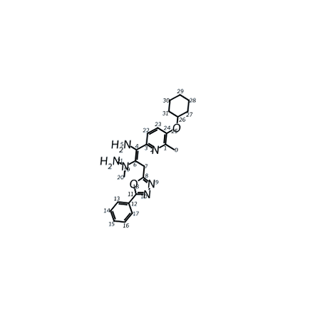 Cc1nc(/C(N)=C(\Cc2nnc(-c3ccccc3)o2)N(C)N)ccc1OC1CCCCC1